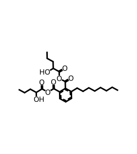 CCCCCCCCc1cccc(C(=O)OC(=O)C(O)CCC)c1C(=O)OC(=O)C(O)CCC